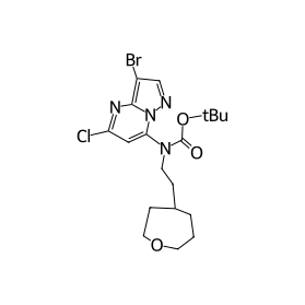 CC(C)(C)OC(=O)N(CCC1CCCOCC1)c1cc(Cl)nc2c(Br)cnn12